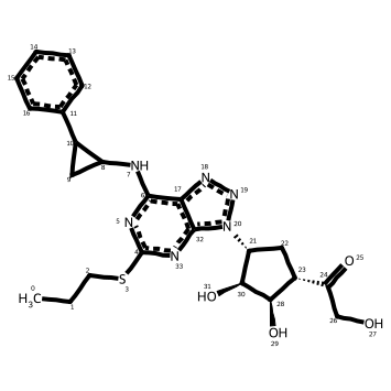 CCCSc1nc(NC2CC2c2ccccc2)c2nnn([C@@H]3C[C@H](C(=O)CO)[C@@H](O)[C@H]3O)c2n1